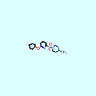 CC1CCN(S(=O)(=O)c2cccc(Oc3ccccc3)n2)CC1